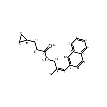 CC(=Cc1ccc2ccccc2c1)COC(=O)CCC1CC1